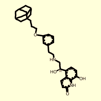 O=c1ccc2c([C@@H](O)CNCCc3cccc(OCCCC45CC6CC(CC(C6)C4)C5)c3)ccc(O)c2[nH]1